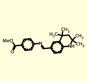 COC(=O)c1ccc(N=Cc2ccc3c(c2)C(C)(C)CC(C)(C)N3)cc1